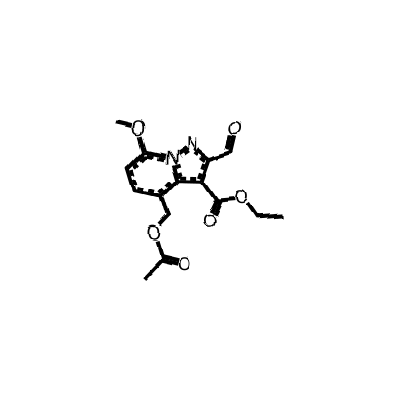 CCOC(=O)c1c(C=O)nn2c(OC)ccc(COC(C)=O)c12